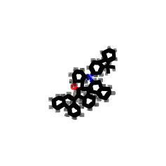 CC1(C)c2ccccc2-c2ccc(N(c3ccc4ccccc4c3)c3cccc4oc5c(-c6cc7ccccc7c7ccccc67)c6ccccc6cc5c34)cc21